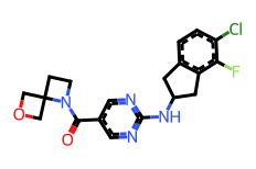 O=C(c1cnc(NC2Cc3ccc(Cl)c(F)c3C2)nc1)N1CCC12COC2